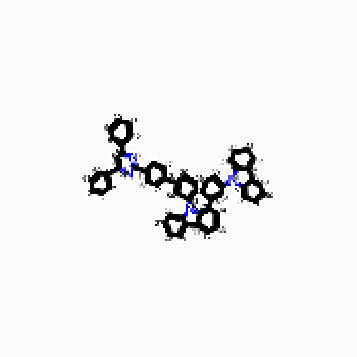 c1ccc(-c2cc(-c3ccccc3)nc(-c3ccc(-c4cccc(-n5c6ccccc6c6cccc(-c7cccc(-n8c9ccccc9c9ccccc98)c7)c65)c4)cc3)n2)cc1